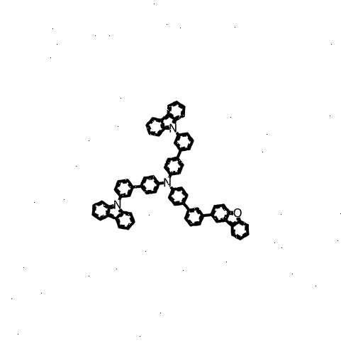 c1cc(-c2ccc(N(c3ccc(-c4cccc(-n5c6ccccc6c6ccccc65)c4)cc3)c3ccc(-c4cccc(-n5c6ccccc6c6ccccc65)c4)cc3)cc2)cc(-c2ccc3oc4ccccc4c3c2)c1